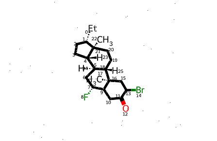 CC[C@H]1CC[C@H]2[C@@H]3C[C@@H](F)C4CC(=O)C(Br)C[C@]4(C)[C@H]3CC[C@]12C